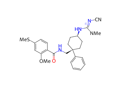 CN/C(=N\C#N)N[C@H]1CC[C@](CNC(=O)c2ccc(SC)cc2OC)(c2ccccc2)CC1